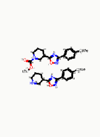 COc1ccc(-c2noc(C3CCCN(C(=O)OC(C)(C)C)C3)n2)cc1.COc1ccc(-c2noc(C3CCCNC3)n2)cc1